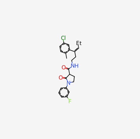 CC/C=C(/CCNC(=O)C1CCN(c2cccc(F)c2)C1=O)c1cc(Cl)ccc1C